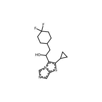 OC(CC1CCC(F)(F)CC1)c1c(C2CC2)sc2cncn12